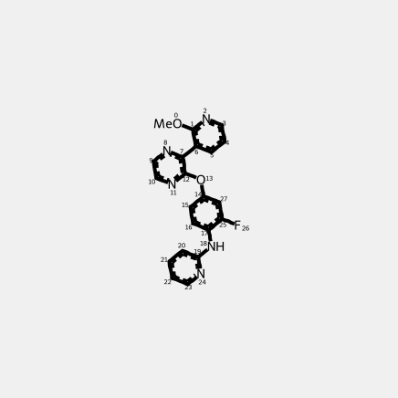 COc1ncccc1-c1nccnc1Oc1ccc(Nc2ccccn2)c(F)c1